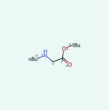 CCCCNCC(=O)OC(C)(C)C